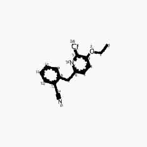 CCOc1ccc(Cc2ccccc2C#N)nc1Cl